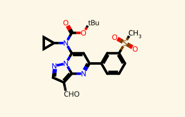 CC(C)(C)OC(=O)N(c1cc(-c2cccc(S(C)(=O)=O)c2)nc2c(C=O)cnn12)C1CC1